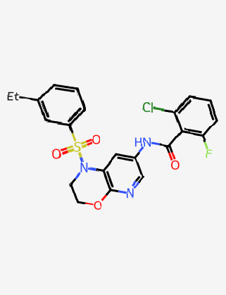 CCc1cccc(S(=O)(=O)N2CCOc3ncc(NC(=O)c4c(F)cccc4Cl)cc32)c1